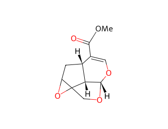 COC(=O)C1=CO[C@@H]2OCC34OC3C[C@H]1[C@H]24